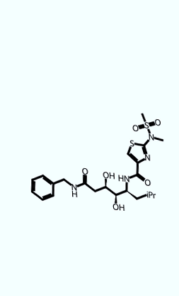 CC(C)C[C@H](NC(=O)c1csc(N(C)S(C)(=O)=O)n1)[C@@H](O)[C@H](O)CC(=O)NCc1ccccc1